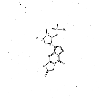 CC[C@H]1O[C@@H](n2cnc3c(=O)n4c(nc32)NC(=O)C4)C(O[Si](C)(C)C(C)(C)C)[C@@H]1C